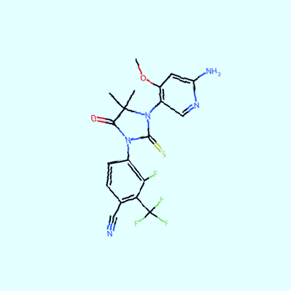 COc1cc(N)ncc1N1C(=S)N(c2ccc(C#N)c(C(F)(F)F)c2F)C(=O)C1(C)C